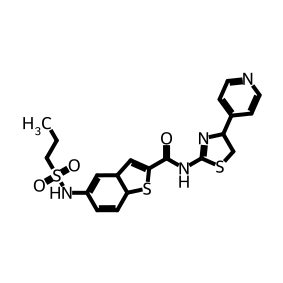 CCCS(=O)(=O)NC1=CC2C=C(C(=O)NC3=NC(c4ccncc4)CS3)SC2C=C1